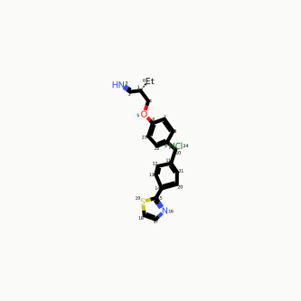 CC[C@@H](C=N)COc1ccc(Cc2ccc(-c3nccs3)cc2)cc1.Cl